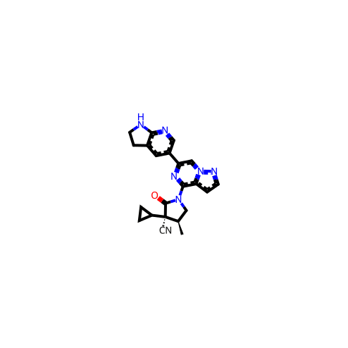 C[C@@H]1CN(c2nc(-c3cnc4c(c3)CCN4)cn3nccc23)C(=O)[C@]1(C#N)C1CC1